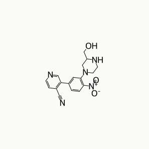 N#Cc1ccncc1-c1ccc([N+](=O)[O-])c(N2CCNC(CO)C2)c1